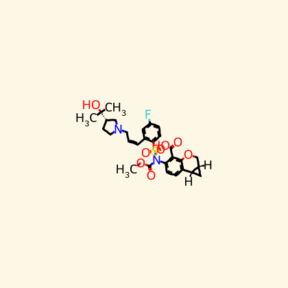 COC(=O)N(c1ccc2c(c1C(=O)O)OC[C@@H]1C[C@H]21)S(=O)(=O)c1ccc(F)cc1/C=C\CN1CC[C@H](C(C)(C)O)C1